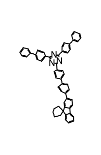 c1ccc(-c2ccc(-c3nc(-c4ccc(-c5ccccc5)cc4)nc(-c4ccc(-c5ccc(-c6ccc7c(c6)C6(CCCCC6)c6ccccc6-7)cc5)cc4)n3)cc2)cc1